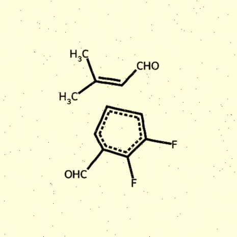 CC(C)=CC=O.O=Cc1cccc(F)c1F